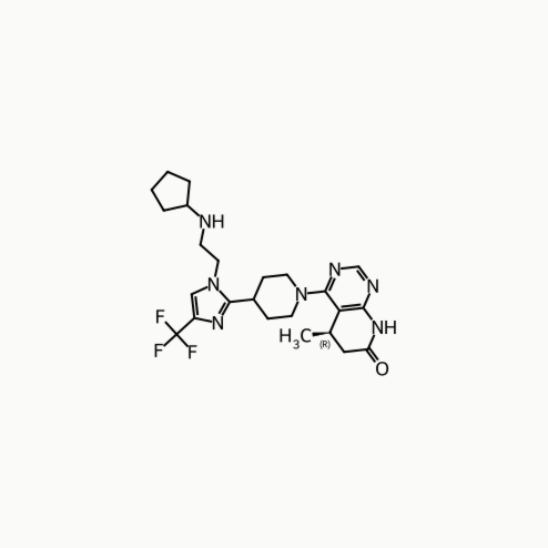 C[C@@H]1CC(=O)Nc2ncnc(N3CCC(c4nc(C(F)(F)F)cn4CCNC4CCCC4)CC3)c21